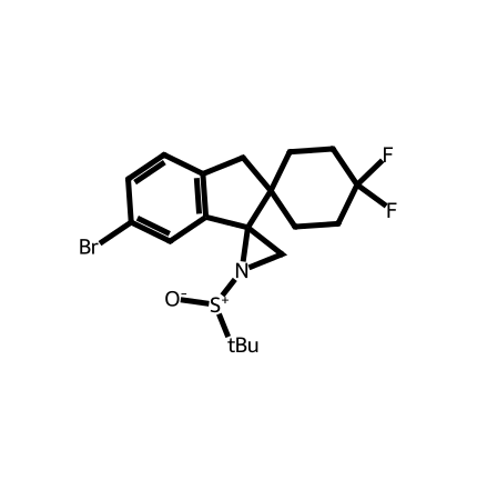 CC(C)(C)[S+]([O-])N1CC12c1cc(Br)ccc1CC21CCC(F)(F)CC1